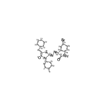 Cc1ccc(N2C(=O)C(=Cc3ccccc3)SC2=NN=C2C(=O)Nc3ccc(Br)cc32)cc1